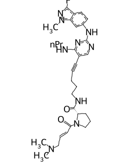 CCCNc1nc(Nc2ccc3c(F)nn(C)c3c2)ncc1C#CCCCNC(=O)[C@@H]1CCCN1C(=O)/C=C/CN(C)C